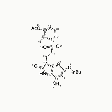 CCCCOc1nc(N)c2[nH]c(=O)n(CCS(=O)(=O)c3cccc(OC(C)=O)c3C)c2n1